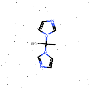 CCCC(C)(n1ccnc1)n1ccnc1